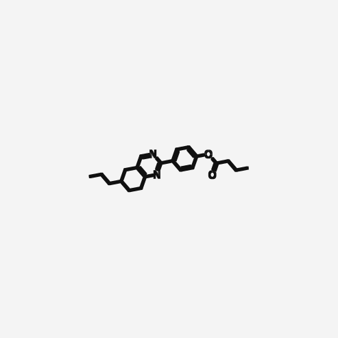 CCCC(=O)Oc1ccc(-c2ncc3c(n2)CCC(CCC)C3)cc1